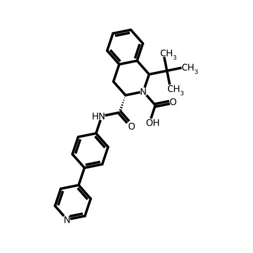 CC(C)(C)C1c2ccccc2C[C@@H](C(=O)Nc2ccc(-c3ccncc3)cc2)N1C(=O)O